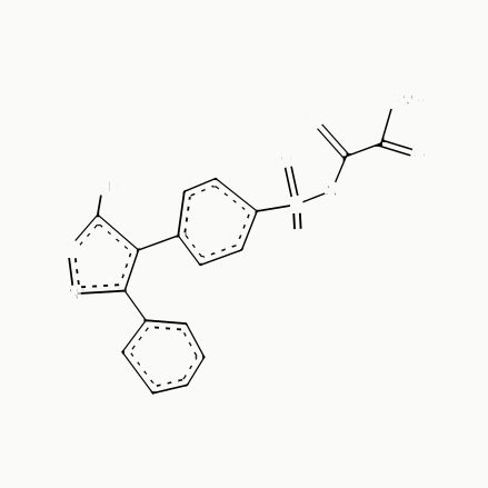 COC(=O)C(=O)NS(=O)(=O)c1ccc(-c2c(-c3ccccc3)noc2C)cc1